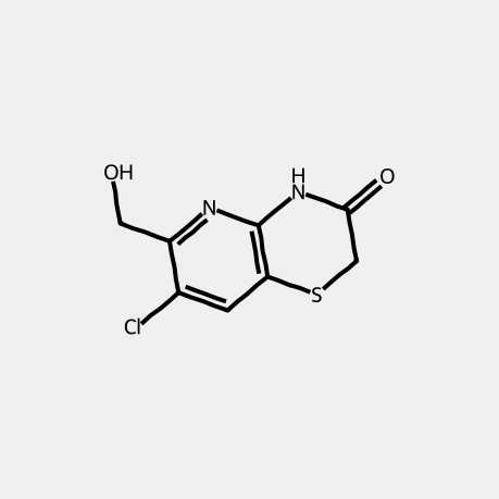 O=C1CSc2cc(Cl)c(CO)nc2N1